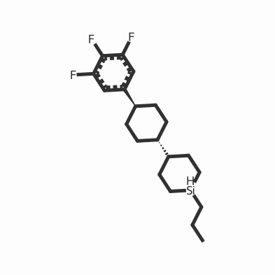 CCC[SiH]1CCC([C@H]2CC[C@H](c3cc(F)c(F)c(F)c3)CC2)CC1